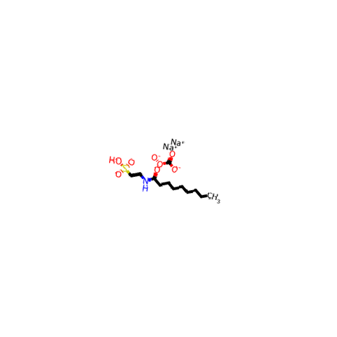 CCCCCCCCC(=O)NCCS(=O)(=O)O.O=C([O-])O[O-].[Na+].[Na+]